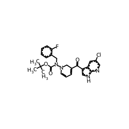 CC(C)(C)OC(=O)N(Cc1ccccc1F)N1C=CC=C(C(=O)c2c[nH]c3ncc(Cl)cc23)C1